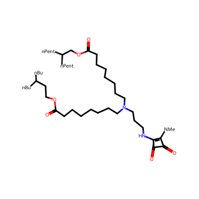 CCCCCC(CCCCC)COC(=O)CCCCCCCN(CCCCCCCC(=O)OCCC(CCCC)CCCC)CCCNc1c(NC)c(=O)c1=O